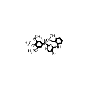 COc1cc(Nc2ncc(Br)c(Nc3ccccc3CN(C)C)n2)cc(OC)c1OC